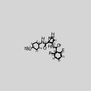 CC(C)(C)C1CCC(NC(=O)c2n[nH]cc2NC(=O)c2c(F)cccc2F)CC1